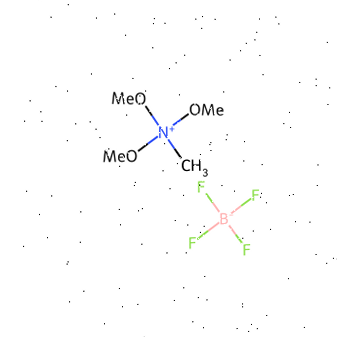 CO[N+](C)(OC)OC.F[B-](F)(F)F